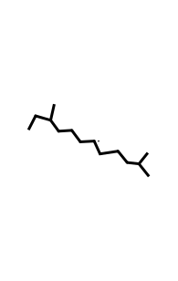 CCC(C)CCC[CH]CCCC(C)C